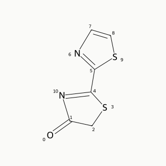 O=C1CSC(c2nccs2)=N1